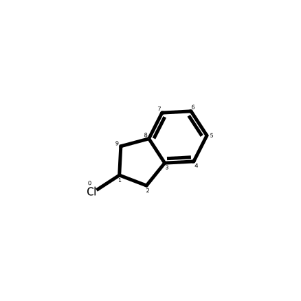 ClC1Cc2ccccc2C1